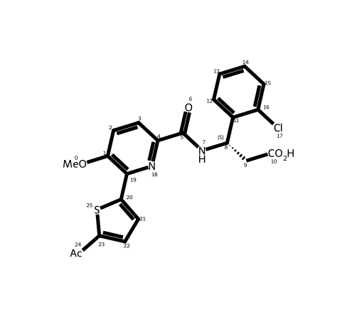 COc1ccc(C(=O)N[C@@H](CC(=O)O)c2ccccc2Cl)nc1-c1ccc(C(C)=O)s1